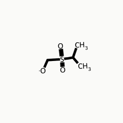 CC(C)S(=O)(=O)C[O]